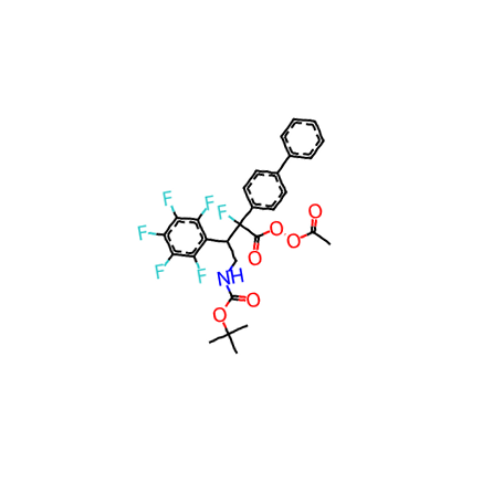 CC(=O)OOC(=O)C(F)(c1ccc(-c2ccccc2)cc1)C(CNC(=O)OC(C)(C)C)c1c(F)c(F)c(F)c(F)c1F